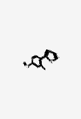 COc1ccc(-c2cc[c]s2)c(C)c1